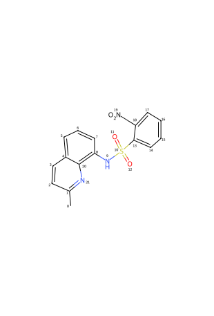 Cc1ccc2cccc(NS(=O)(=O)c3ccccc3[N+](=O)[O-])c2n1